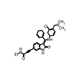 CCNC(=O)C#Cc1ccc2c(c1)NC(=O)/C2=C(\NC1C=CC(CN(C)C)=C(Cl)C1)C1=CCCC=C1